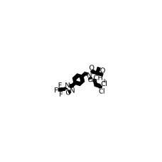 CC1(C(=O)N(Cc2ccc(-c3noc(C(F)(F)F)n3)cc2)OCC=C(Cl)Cl)COC1